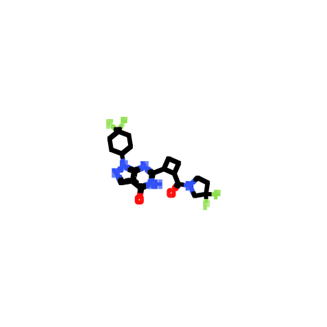 O=C(C1CCC1c1nc2c(cnn2C2CCC(F)(F)CC2)c(=O)[nH]1)N1CCC(F)(F)C1